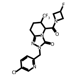 O=C(C1C(C(F)(F)F)CCc2nn(Cc3ccc(Cl)cn3)c(=O)n21)N1CC(F)C1